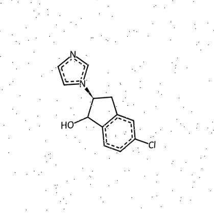 OC1c2ccc(Cl)cc2C[C@@H]1n1ccnc1